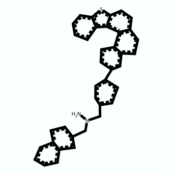 NN(Cc1ccc(-c2ccc3c(ccc4ccc5sc6ccccc6c5c43)c2)cc1)Cc1ccc2ccccc2c1